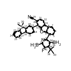 Bc1nc(-c2cccc3c2oc2c(-c4ccc5c(c4)S(C)(C)c4c#cccc4-5)c(C#N)ccc23)c(B)c(C(C)(C)C)c1F